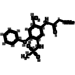 CNCC(=O)Nc1cc(NS(C)(=O)=O)c(Oc2ccccc2)cc1[N+](=O)[O-]